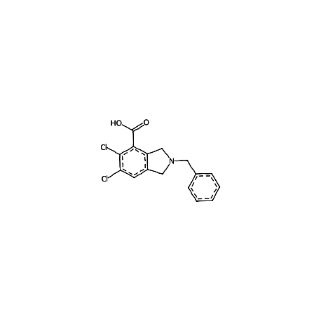 O=C(O)c1c(Cl)c(Cl)cc2c1CN(Cc1ccccc1)C2